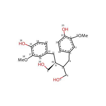 COc1cc(CC(CO)[C@@H](CO)Cc2ccc(O)c(OC)c2)ccc1O